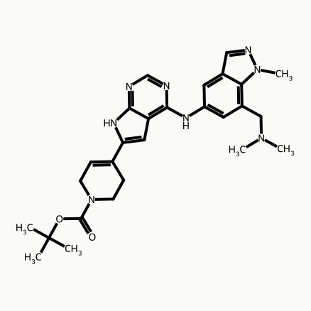 CN(C)Cc1cc(Nc2ncnc3[nH]c(C4=CCN(C(=O)OC(C)(C)C)CC4)cc23)cc2cnn(C)c12